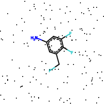 Nc1cc(F)c(F)c(CF)c1